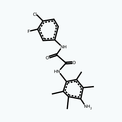 Cc1c(C)c(NC(=O)C(=O)Nc2ccc(Cl)c(F)c2)c(C)c(C)c1N